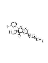 CN1CC2C1CN2c1ccc2nc(-c3cccc(F)c3)n(C)c(=O)c2c1